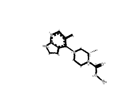 Cc1cnc2c(c1N1CCN(C(=O)OC(C)(C)C)[C@@H](C)C1)CCN2